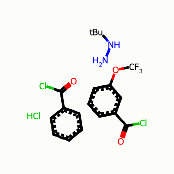 CC(C)(C)NN.Cl.O=C(Cl)c1cccc(OC(F)(F)F)c1.O=C(Cl)c1ccccc1